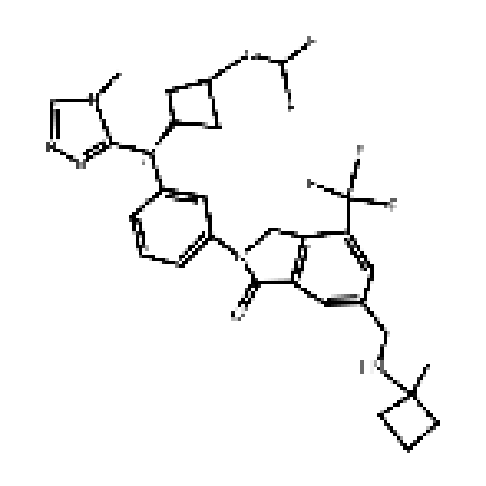 Cn1cnnc1[C@H](c1cccc(N2Cc3c(cc(CNC4(C)CCC4)cc3C(F)(F)F)C2=O)c1)C1CC(OC(F)F)C1